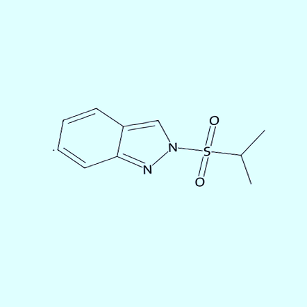 CC(C)S(=O)(=O)n1cc2cc[c]cc2n1